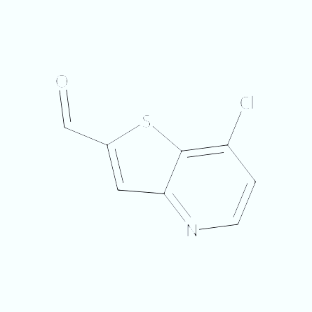 O=Cc1cc2nccc(Cl)c2s1